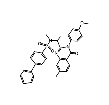 COc1ccc(-n2c(C(C)N(C)S(=O)(=O)c3ccc(-c4ccccc4)cc3)nc3cc(C)ccc3c2=O)cc1